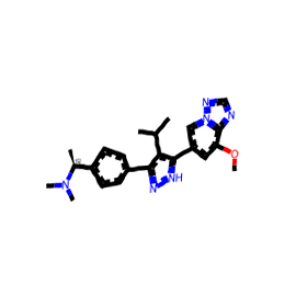 COc1cc(-c2[nH]nc(-c3ccc([C@H](C)N(C)C)cc3)c2C(C)C)cn2ncnc12